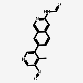 Cc1c(N=O)cncc1-c1ccc2cc(NC=O)ncc2c1